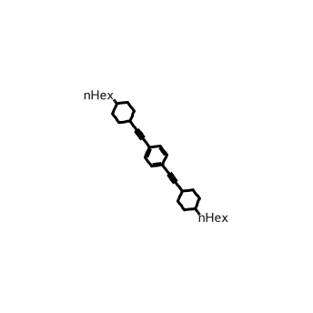 CCCCCCC1CCC(C#Cc2ccc(C#CC3CCC(CCCCCC)CC3)cc2)CC1